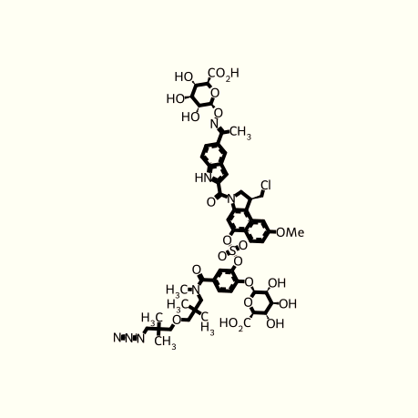 COc1ccc2c(OS(=O)(=O)Oc3cc(C(=O)N(C)CC(C)(C)COCC(C)(C)CN=[N+]=[N-])ccc3O[C@@H]3O[C@H](C(=O)O)[C@@H](O)[C@H](O)[C@H]3O)cc3c(c2c1)[C@H](CCl)CN3C(=O)c1cc2cc(/C(C)=N/O[C@@H]3O[C@H](C(=O)O)[C@@H](O)[C@H](O)[C@H]3O)ccc2[nH]1